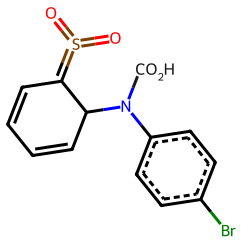 O=C(O)N(c1ccc(Br)cc1)C1C=CC=CC1=S(=O)=O